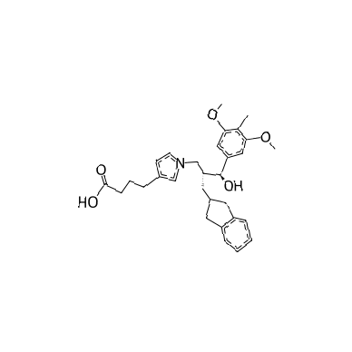 COc1cc([C@@H](O)[C@H](CC2Cc3ccccc3C2)Cn2ccc(CCCC(=O)O)c2)cc(OC)c1C